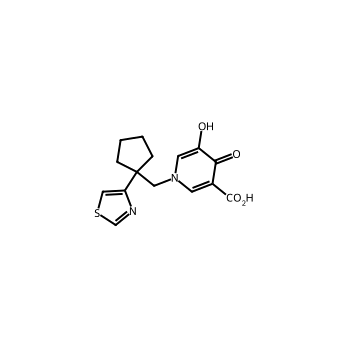 O=C(O)c1cn(CC2(c3cscn3)CCCC2)cc(O)c1=O